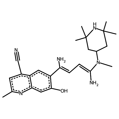 Cc1cc(C#N)c2cc(/C(N)=C/C=C(\N)N(C)C3CC(C)(C)NC(C)(C)C3)c(O)cc2n1